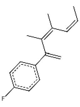 C=C(/C(C)=C(C)\C=C/C)c1ccc(F)cc1